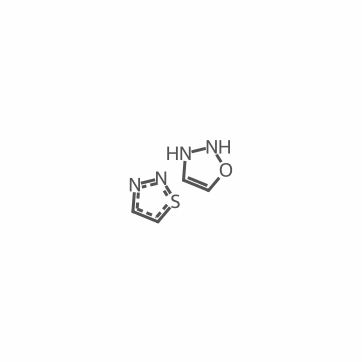 C1=CONN1.c1csnn1